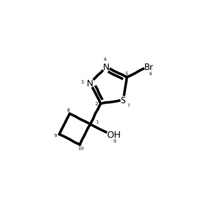 OC1(c2nnc(Br)s2)CCC1